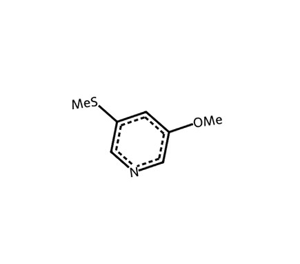 COc1cncc(SC)c1